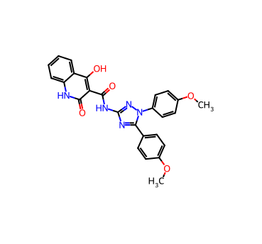 COc1ccc(-c2nc(NC(=O)c3c(O)c4ccccc4[nH]c3=O)nn2-c2ccc(OC)cc2)cc1